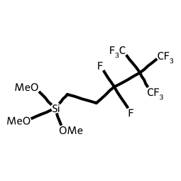 CO[Si](CCC(F)(F)C(C(F)(F)F)(C(F)(F)F)C(F)(F)F)(OC)OC